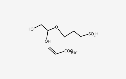 C=CC(=O)[O-].O=S(=O)(O)CCCOC(O)CO.[Na+]